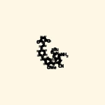 CCCCOc1nc(N)c2cc(C#N)n(Cc3ccc(CN4CCN(CCN5C(=O)C=CC5=O)CC4)cc3OC)c2n1